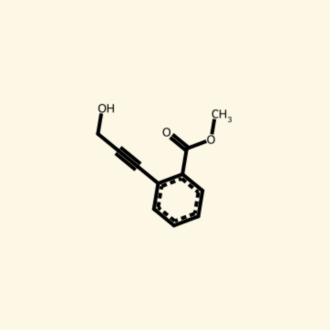 COC(=O)c1ccccc1C#CCO